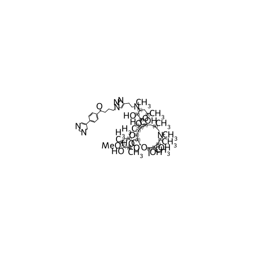 CO[C@]1(C)C[C@H](O[C@H]2[C@H](C)[C@@H](O[C@@H]3O[C@H](C)C[C@H](N(C)CCc4cn(CCCC(=O)c5ccc(-c6cncnc6)cc5)nn4)[C@H]3O)[C@](C)(O)C[C@@H](C)CN(C)[C@H](C)[C@@H](O)[C@](C)(O)[C@@H](I)OC(=O)[C@@H]2C)O[C@@H](C)[C@@H]1O